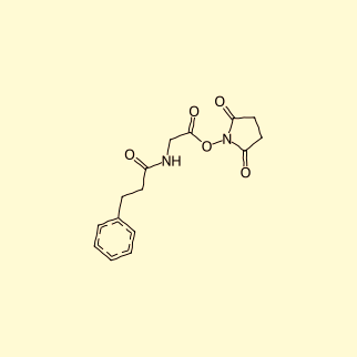 O=C(CCc1ccccc1)NCC(=O)ON1C(=O)CCC1=O